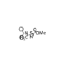 COC(=O)c1cnc(C(C)=NC(c2ccccc2)c2ccccc2)s1